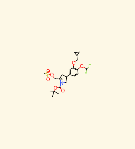 CC(C)(C)OC(=O)N1CC(c2ccc(OC(F)F)c(OCC3CC3)c2)C[C@H]1COS(C)(=O)=O